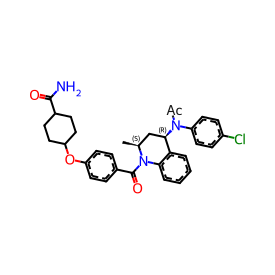 CC(=O)N(c1ccc(Cl)cc1)[C@@H]1C[C@H](C)N(C(=O)c2ccc(OC3CCC(C(N)=O)CC3)cc2)c2ccccc21